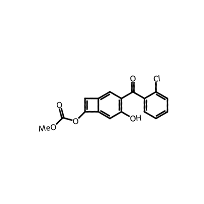 COC(=O)OC1=Cc2cc(C(=O)c3ccccc3Cl)c(O)cc21